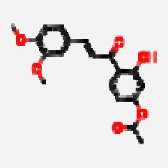 COc1ccc(C=CC(=O)c2ccc(OC(C)=O)cc2O)cc1OC